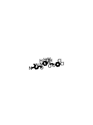 Cc1nc(C(=O)NC23CCC(NC(=O)COc4ccc(Cl)c(Cl)c4)(CC2)[C@@H](O)C3)ccc1C#N